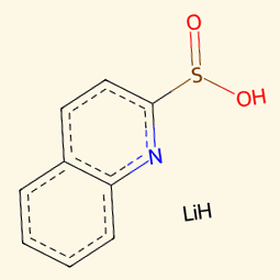 O=S(O)c1ccc2ccccc2n1.[LiH]